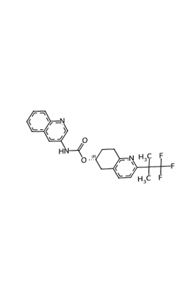 CC(C)(c1ccc2c(n1)CC[C@@H](OC(=O)Nc1cnc3ccccc3c1)C2)C(F)(F)F